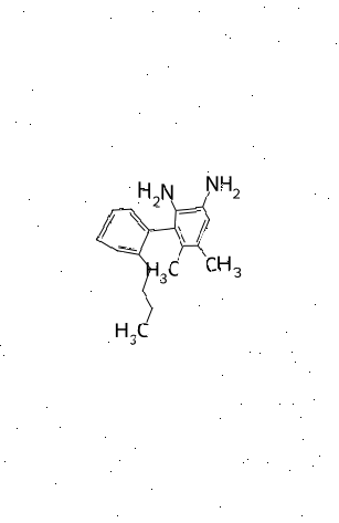 CCCCc1ccccc1-c1c(C)c(C)cc(N)c1N